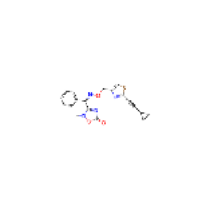 Cn1oc(=O)nc1C(=NOCc1csc(C#CC2CC2)n1)c1ccccc1